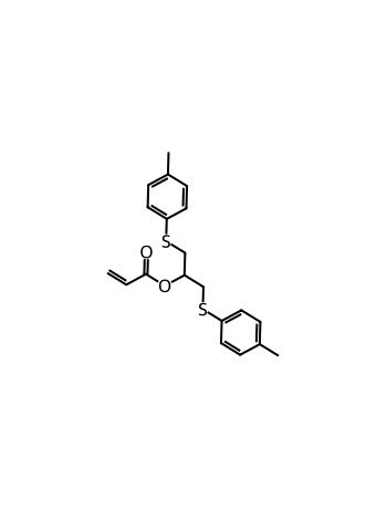 C=CC(=O)OC(CSc1ccc(C)cc1)CSc1ccc(C)cc1